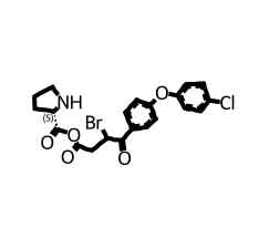 O=C(CC(Br)C(=O)c1ccc(Oc2ccc(Cl)cc2)cc1)OC(=O)[C@@H]1CCCN1